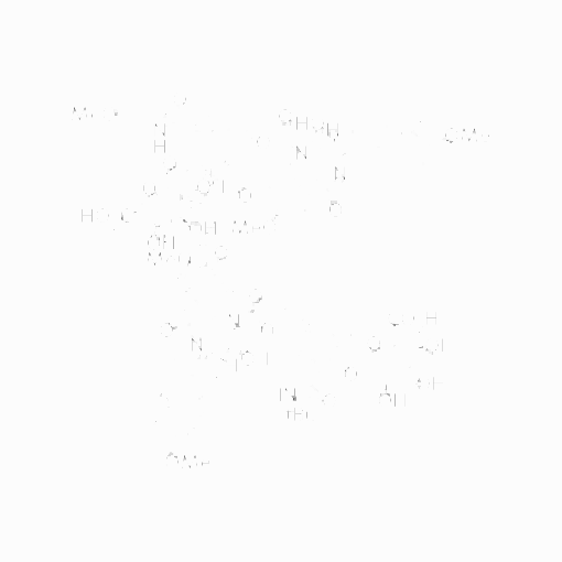 COCCNC(=O)c1cc(COC(=O)N2c3cc(OCCCCCOc4cc5c(cc4OC)C(=O)N4C=C(c6ccc(OC)cc6)C[C@H]4C(O)N5C(=O)OCc4ccc(O[C@@H]5O[C@H](C(=O)O)[C@@H](O)[C@H](O)[C@H]5O)c(C(=O)NC(C)(C)C)c4)c(OC)cc3C(=O)N3C=C(c4ccc(OC)cc4)C[C@H]3C2O)ccc1O[C@@H]1O[C@H](C(=O)O)[C@@H](O)[C@H](O)[C@H]1O